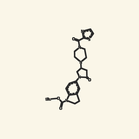 CC(C)(C)OC(=O)N1CCc2cc(N3CC(N4CCN(C(=O)c5nccs5)CC4)CC3=O)ccc21